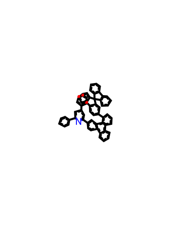 c1ccc(-c2cc(-c3ccccc3)nc(-c3ccc4c5ccccc5c5cccc(-c6ccc7c(c6)C6(c8ccccc8-c8ccccc86)c6ccccc6-7)c5c4c3)c2)cc1